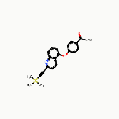 COC(=O)c1ccc(Oc2cccc3nc(C#CS(C)(C)C)ccc23)cc1